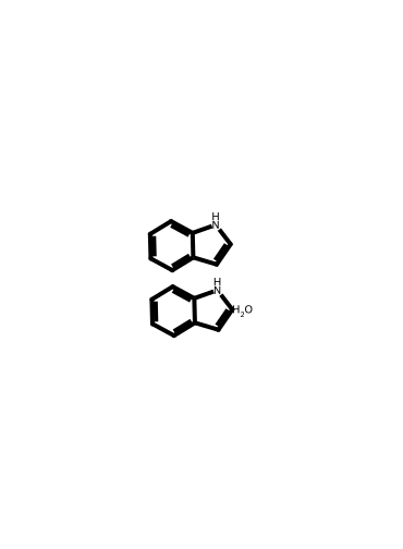 O.c1ccc2[nH]ccc2c1.c1ccc2[nH]ccc2c1